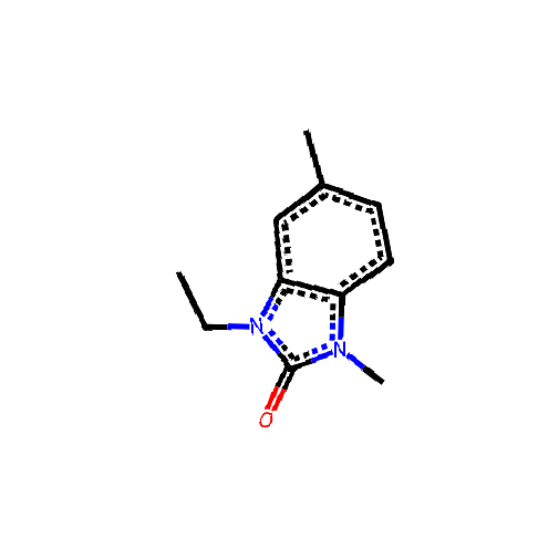 CCn1c(=O)n(C)c2ccc(C)cc21